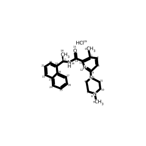 Cc1ccc(N2CCN(C)CC2)nc1C(=O)N[C@H](C)c1cccc2ccccc12.Cl